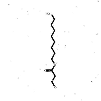 CCCCCCCCCCCCCCCCOC(=O)CC[O]